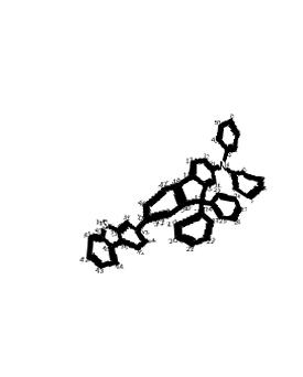 c1ccc(N(c2ccccc2)c2ccc3c(c2)C(c2ccccc2)(c2ccccc2)c2cc(-c4ccc5c(c4)sc4ccccc45)ccc2-3)cc1